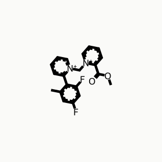 COC(=O)c1cccc[n+]1C[n+]1ccccc1-c1c(C)cc(F)cc1F